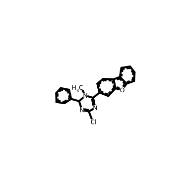 CN1C(c2ccc3c(c2)oc2ccccc23)=NC(Cl)=NC1c1ccccc1